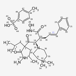 CCCC(CC(C)C)(C(=O)NN)C(=O)[C@@H]([C@H](C/C=C/c1ccccc1)C(=O)NO)N1CC[N+](C)(C)CC1.Cc1ccc(S(=O)(=O)O)cc1